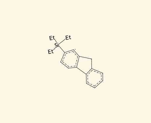 CC[Si](CC)(CC)c1[c]c2c(cc1)-c1ccccc1C2